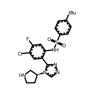 CC(C)(C)c1ccc(S(=O)(=O)Nc2cc(F)c(Cl)cc2-c2nncn2[C@H]2CCNC2)cc1